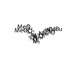 COc1ccc(-c2ccc3nc(C)c(-c4ccc(N5CCN(OC(=O)C(C)(C)C)CC5)nc4)n3n2)cc1OC